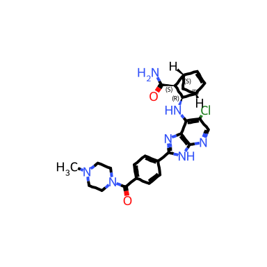 CN1CCN(C(=O)c2ccc(-c3nc4c(N[C@H]5[C@@H](C(N)=O)[C@@H]6C=C[C@H]5C6)c(Cl)cnc4[nH]3)cc2)CC1